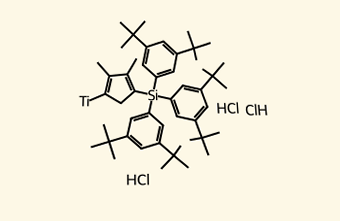 CC1=[C]([Ti])CC([Si](c2cc(C(C)(C)C)cc(C(C)(C)C)c2)(c2cc(C(C)(C)C)cc(C(C)(C)C)c2)c2cc(C(C)(C)C)cc(C(C)(C)C)c2)=C1C.Cl.Cl.Cl